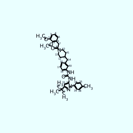 COc1cccc(CC(=O)N2CCC(Cc3cccc(NC(=O)Nc4cc(C(C)(C)C)nn4-c4ccc(C)cc4)c3)CC2)c1OC